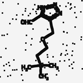 C[Si](C)(C)CCOCc1nn[nH]c1C=O